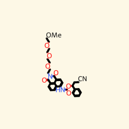 COCCOCCOCCOCCN1C(=O)c2cccc3c(NC(=O)OC(CCC#N)c4ccccc4)ccc(c23)C1=O